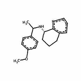 COc1ccc(C(C)N[C@H]2CCCc3cccnc32)cc1